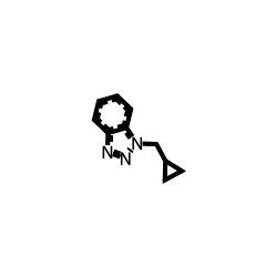 c1ccc2c(c1)nnn2CC1CC1